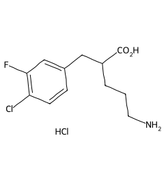 Cl.NCCCC(Cc1ccc(Cl)c(F)c1)C(=O)O